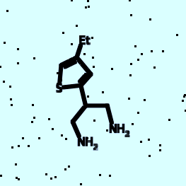 CCc1csc(C(CN)CN)c1